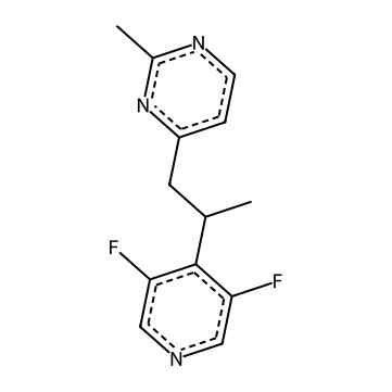 Cc1nccc(CC(C)c2c(F)cncc2F)n1